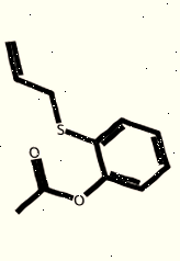 C=CCSc1ccccc1OC(C)=O